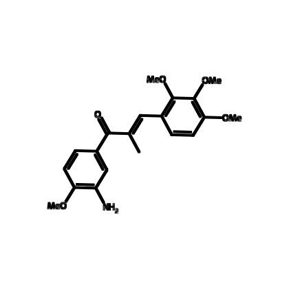 COc1ccc(C(=O)/C(C)=C/c2ccc(OC)c(OC)c2OC)cc1N